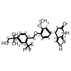 COc1cc([C@@H]2CC(=O)Nc3n[nH]cc32)ccc1OCc1ccc(C(C)(C)CO)cc1C(F)(F)F